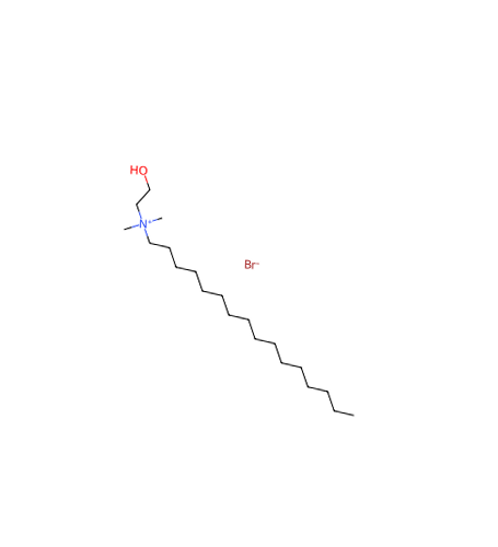 CCCCCCCCCCCCCCCC[N+](C)(C)CCO.[Br-]